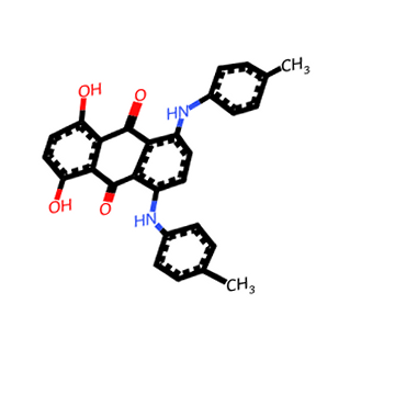 Cc1ccc(Nc2ccc(Nc3ccc(C)cc3)c3c2C(=O)c2c(O)ccc(O)c2C3=O)cc1